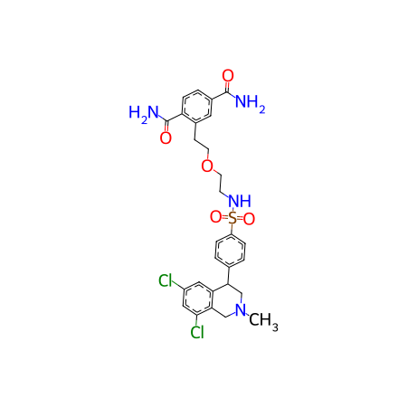 CN1Cc2c(Cl)cc(Cl)cc2C(c2ccc(S(=O)(=O)NCCOCCc3cc(C(N)=O)ccc3C(N)=O)cc2)C1